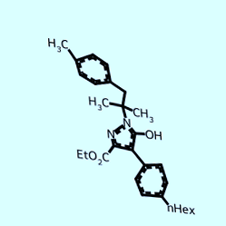 CCCCCCc1ccc(-c2c(C(=O)OCC)nn(C(C)(C)Cc3ccc(C)cc3)c2O)cc1